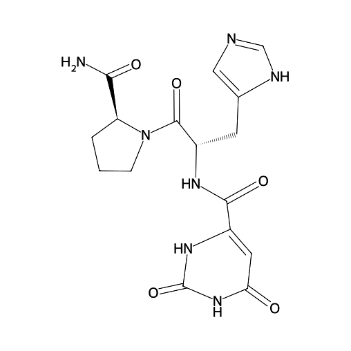 NC(=O)[C@@H]1CCCN1C(=O)[C@H](Cc1cnc[nH]1)NC(=O)c1cc(=O)[nH]c(=O)[nH]1